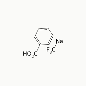 F[C](F)(F)[Na].O=C(O)c1ccccc1